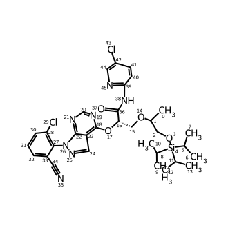 CC(CO[Si](C(C)C)(C(C)C)C(C)C)OC[C@H](Oc1ncnc2c1cnn2-c1c(Cl)cccc1C#N)C(=O)Nc1ccc(Cl)cn1